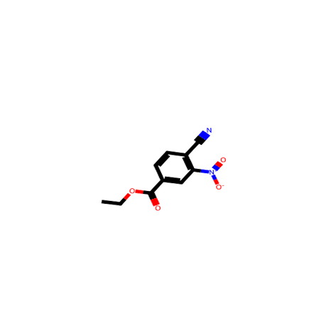 CCOC(=O)c1ccc(C#N)c([N+](=O)[O-])c1